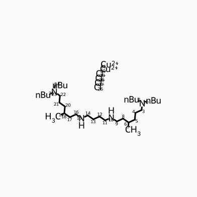 CCCCN(CCCC)CCCC(C)CCNCCCCNCCC(C)CCCN(CCCC)CCCC.[Cl-].[Cl-].[Cl-].[Cl-].[Cu+2].[Cu+2]